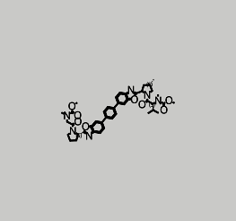 COC(=O)N(C)CC(=O)N1CCC[C@H]1c1nc2ccc(-c3ccc(-c4ccc5nc(C6C[C@H](C)CN6C(=O)[C@H](C(C)C)N(C)C(=O)OC)oc5c4)cc3)cc2o1